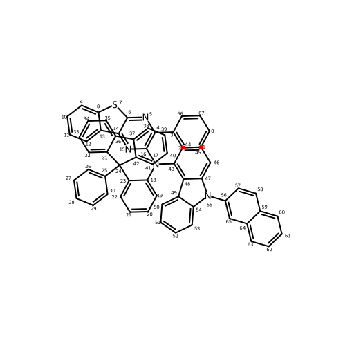 c1ccc(-c2nc3sc4ccccc4c3nc2N(c2ccccc2C2(c3ccccc3)c3ccccc3-c3ccccc32)c2cccc3c2c2ccccc2n3-c2ccc3ccccc3c2)cc1